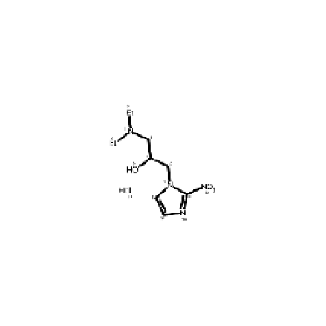 CCN(CC)CC(O)Cn1ccnc1[N+](=O)[O-].Cl